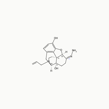 C=CCN1CC[C@]23c4c5ccc(O)c4O[C@H]2/C(=N\N)CC[C@@]3(O)[C@H]1C5